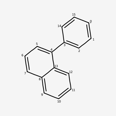 [c]1ccc(-c2cccc3ccccc23)cc1